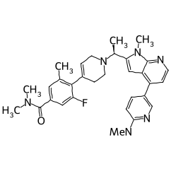 CNc1ccc(-c2ccnc3c2cc([C@H](C)N2CC=C(c4c(C)cc(C(=O)N(C)C)cc4F)CC2)n3C)cn1